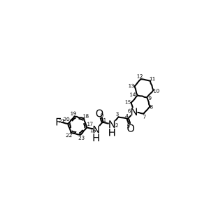 O=C(NCC(=O)N1CCC2CCCCC2C1)Nc1ccc(F)cc1